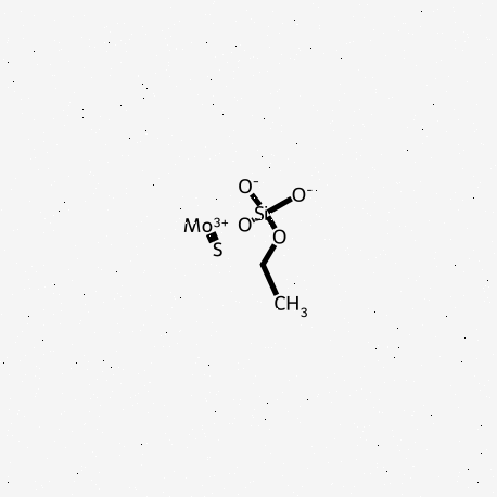 CCO[Si]([O-])([O-])[O-].[S]=[Mo+3]